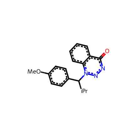 COc1ccc(C(C(C)C)n2nnc(=O)c3ccccc32)cc1